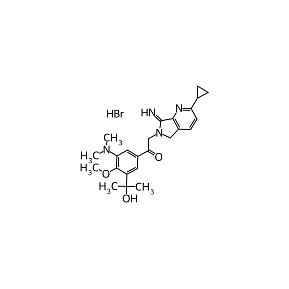 Br.COc1c(N(C)C)cc(C(=O)CN2Cc3ccc(C4CC4)nc3C2=N)cc1C(C)(C)O